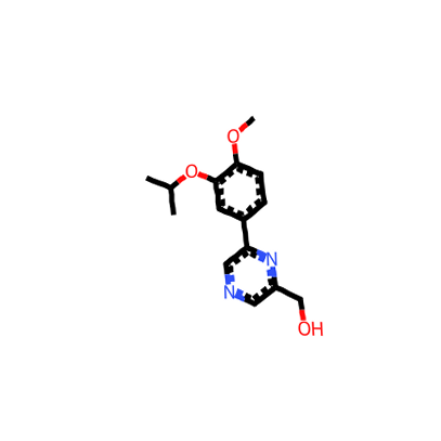 COc1ccc(-c2cncc(CO)n2)cc1OC(C)C